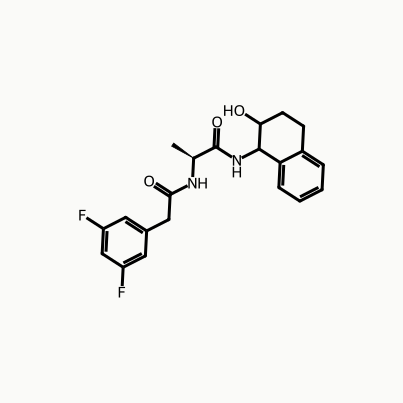 C[C@H](NC(=O)Cc1cc(F)cc(F)c1)C(=O)NC1c2ccccc2CCC1O